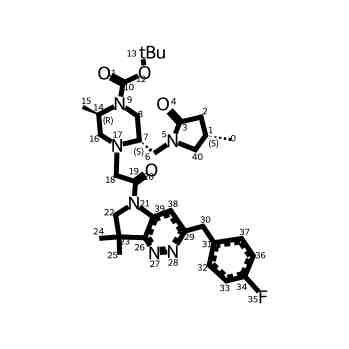 C[C@H]1CC(=O)N(C[C@H]2CN(C(=O)OC(C)(C)C)[C@H](C)CN2CC(=O)N2CC(C)(C)c3nnc(Cc4ccc(F)cc4)cc32)C1